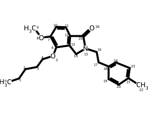 CCCCCOc1c(OC)ccc2c1CN(CCc1ccc(C)cc1)C2=O